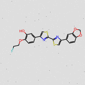 Oc1cc(-c2csc(-c3nc(-c4ccc5c(c4)OCO5)cs3)n2)ccc1OCCF